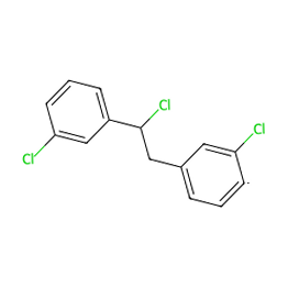 Clc1[c]ccc(CC(Cl)c2cccc(Cl)c2)c1